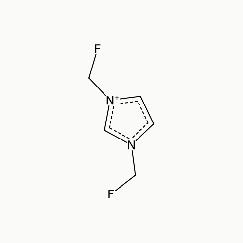 FCn1cc[n+](CF)c1